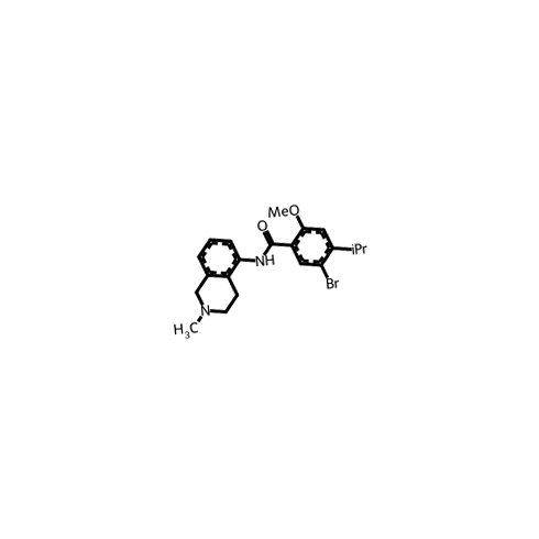 COc1cc(C(C)C)c(Br)cc1C(=O)Nc1cccc2c1CCN(C)C2